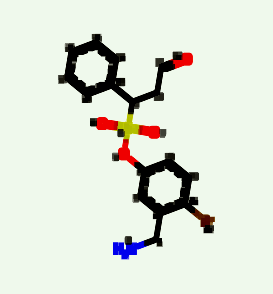 NCc1cc(OS(=O)(=O)C(CC=O)c2ccccc2)ccc1Br